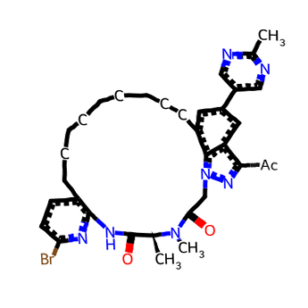 CC(=O)c1nn2c3c(cc(-c4cnc(C)nc4)cc13)CCCCCCCCCc1ccc(Br)nc1NC(=O)[C@H](C)N(C)C(=O)C2